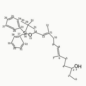 CCC(O)CC/C(C)=C/CC/C(C)=C/CO[Si](c1ccccc1)(c1ccccc1)C(C)(C)C